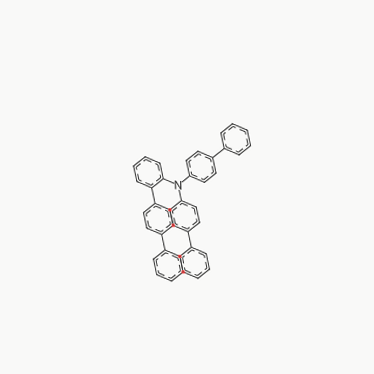 c1ccc(-c2ccc(-c3ccccc3N(c3ccc(-c4ccccc4)cc3)c3ccc(-c4ccccc4)cc3)cc2)cc1